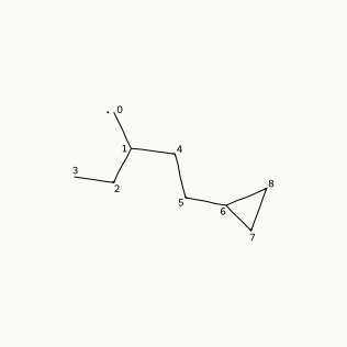 [CH2]C(CC)CCC1CC1